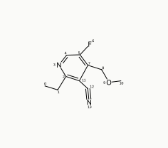 CCc1ncc(F)c(COC)c1C#N